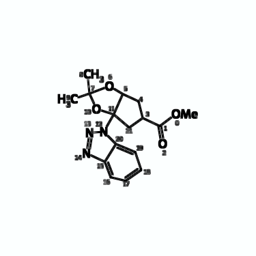 COC(=O)C1CC2OC(C)(C)OC2(n2nnc3ccccc32)C1